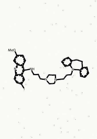 COc1ccc2c(NCCCN3CCN(CCCN4c5ccccc5CCc5ccccc54)CC3)c3cc(I)ccc3nc2c1